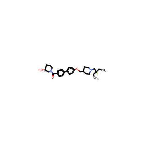 CCC(F)(CC)CN1CCC(COc2ccc(-c3ccc(C(=O)N4CCC[C@H](O)C4)cc3)cc2)CC1